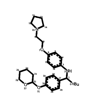 CCCCC(Nc1ccc(OCCN2CCCC2)cc1)c1ccc(OC2CCCCO2)cc1